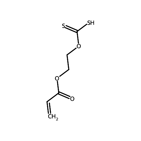 C=CC(=O)OCCOC(=S)S